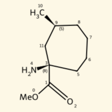 COC(=O)[C@@]1(N)CCCC[C@H](C)C1